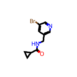 O=C(NCc1cncc(Br)c1)C1CC1